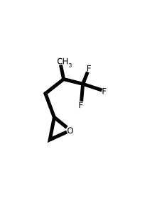 C[C](CC1CO1)C(F)(F)F